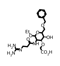 CCOC1OC(COCc2ccccc2)[C@@H](O)[C@H](OCC(=O)O)C1NC(=O)CCN=C(N)N